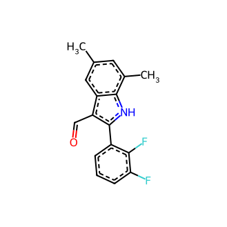 Cc1cc(C)c2[nH]c(-c3cccc(F)c3F)c(C=O)c2c1